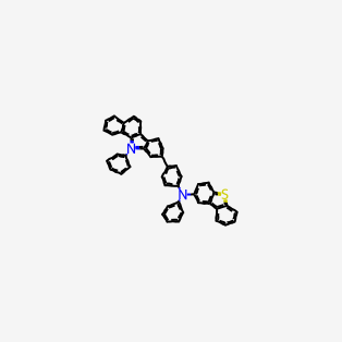 c1ccc(N(c2ccc(-c3ccc4c5ccc6ccccc6c5n(-c5ccccc5)c4c3)cc2)c2ccc3sc4ccccc4c3c2)cc1